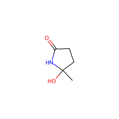 CC1(O)CCC(=O)N1